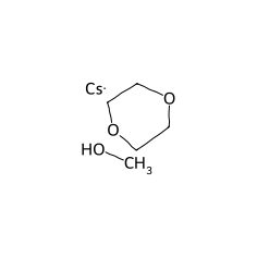 C1COCCO1.CO.[Cs]